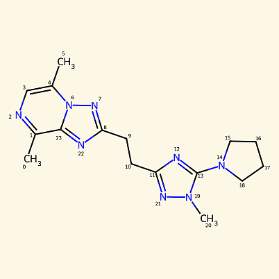 Cc1ncc(C)n2nc(CCc3nc(N4CCCC4)n(C)n3)nc12